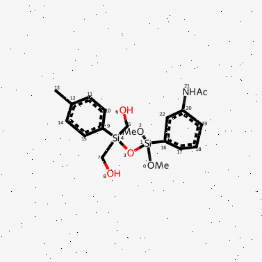 CO[Si](OC)(O[Si](CO)(CO)c1ccc(C)cc1)c1cccc(NC(C)=O)c1